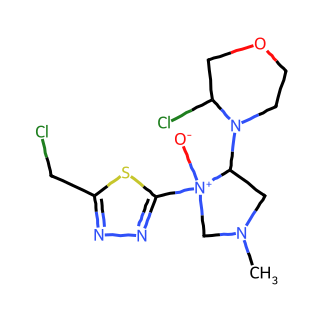 CN1CC(N2CCOCC2Cl)[N+]([O-])(c2nnc(CCl)s2)C1